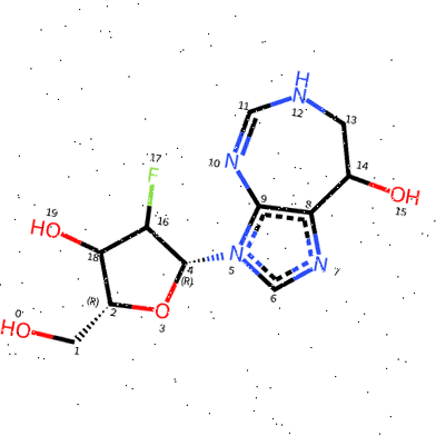 OC[C@H]1O[C@@H](n2cnc3c2N=CNCC3O)C(F)C1O